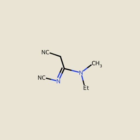 CCN(C)C(CC#N)=NC#N